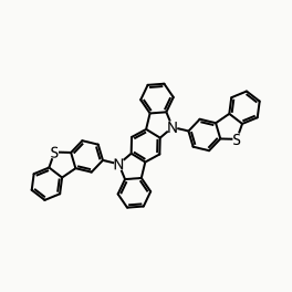 c1ccc2c(c1)sc1ccc(-n3c4ccccc4c4cc5c(cc43)c3ccccc3n5-c3ccc4sc5ccccc5c4c3)cc12